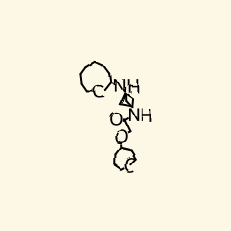 O=C(COC1CCCCCC1)NC12CC(NC3CCCCCCCCC3)(C1)C2